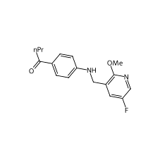 CCCC(=O)c1ccc(NCc2cc(F)cnc2OC)cc1